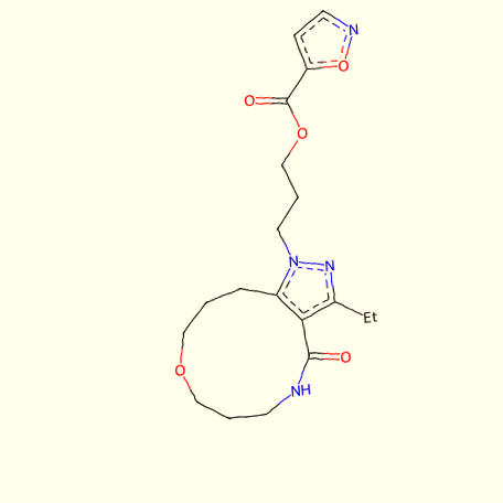 CCc1nn(CCCOC(=O)c2ccno2)c2c1C(=O)NCCCOCCC2